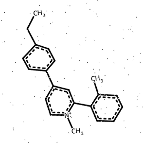 CCc1ccc(-c2cc[n+](C)c(-c3ccccc3C)c2)cc1